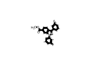 COC(=O)c1ccc2c(-c3cccc(F)c3)nn(-c3cccc(F)c3)c2c1